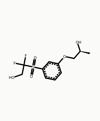 [CH2][C@H](O)COc1cccc(S(=O)(=O)C(F)(F)CO)c1